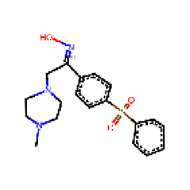 CN1CCN(C/C(=N\O)c2ccc(S(=O)(=O)c3ccccc3)cc2)CC1